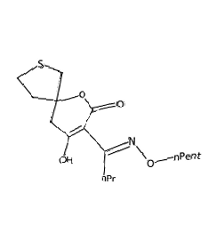 CCCCCON=C(CCC)C1=C(O)CC2(CCSC2)OC1=O